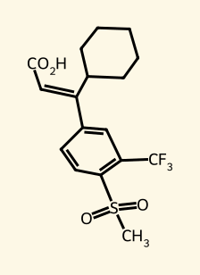 CS(=O)(=O)c1ccc(/C(=C/C(=O)O)C2CCCCC2)cc1C(F)(F)F